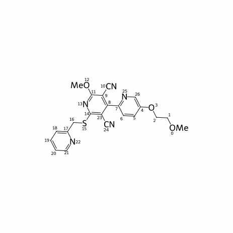 COCCOc1ccc(-c2c(C#N)c(OC)nc(SCc3ccccn3)c2C#N)nc1